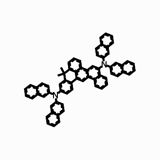 CC1(C)c2cc(N(c3ccc4ccccc4c3)c3ccc4ccccc4c3)ccc2-c2cc3c4ccccc4c(N(c4ccc5ccccc5c4)c4ccc5ccccc5c4)cc3c3cccc1c23